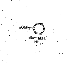 CCCCCCCCc1ccccc1.CCC[CH2][SbH2].N.[SbH3]